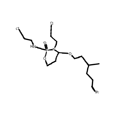 CC(C)CCCC(C)CCOC1CCOP(=O)(NCCCl)N1CCCl